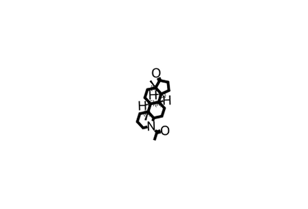 CC(=O)N1CCC[C@@]2(C)C1CC[C@@H]1[C@@H]2CC[C@]2(C)C(=O)CC[C@@H]12